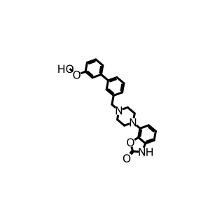 O=c1[nH]c2cccc(N3CCN(Cc4cccc(-c5cccc(OO)c5)c4)CC3)c2o1